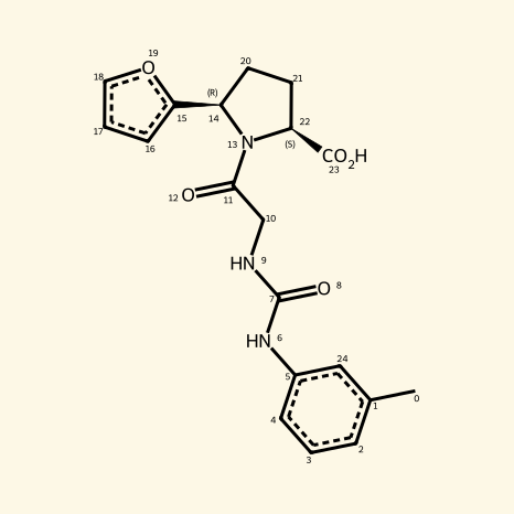 Cc1cccc(NC(=O)NCC(=O)N2[C@@H](c3ccco3)CC[C@H]2C(=O)O)c1